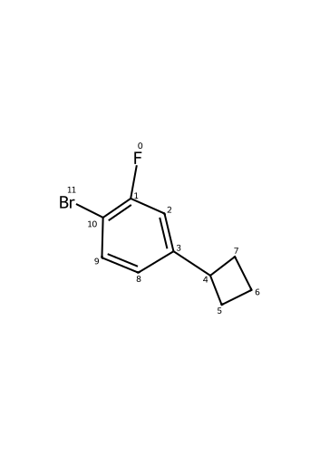 Fc1cc(C2CCC2)ccc1Br